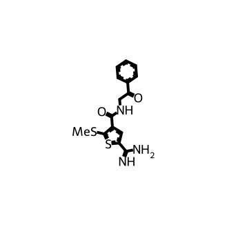 CSc1sc(C(=N)N)cc1C(=O)NCC(=O)c1ccccc1